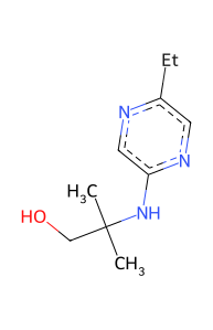 CCc1cnc(NC(C)(C)CO)cn1